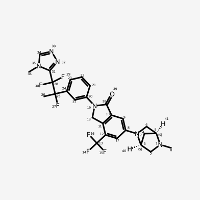 CN1C[C@@H]2C[C@H]1CN2c1cc2c(c(C(F)(F)F)c1)CN(c1cccc(C(C)(F)C(F)(F)c3nncn3C)c1)C2=O